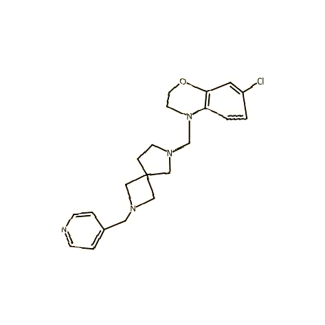 Clc1ccc2c(c1)OCCN2CN1CCC2(C1)CN(Cc1ccncc1)C2